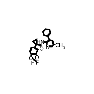 Cc1cnc(NC(=O)C2(c3ccc4c(c3)OC(F)(F)O4)CC2)c(C2=CCCCC2)c1